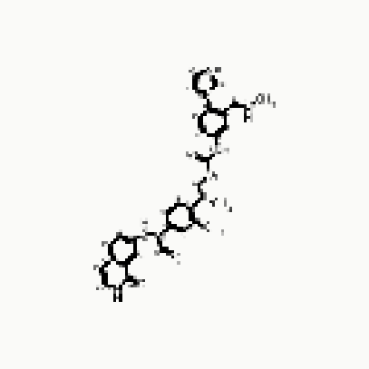 CNCc1cc(NC(=O)OC[C@H](C)c2ccc(C(C=O)Nc3ccc4cc[nH]c(=O)c4c3)cc2C)ccc1-n1ccnc1